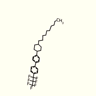 CCCCCCCCCCC1CCC(c2ccc(-c3ccc(C(F)(F)C(F)(F)C(F)(F)F)cc3)cc2)CC1